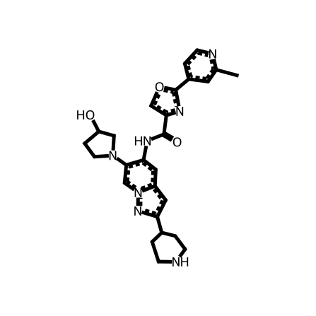 Cc1cc(-c2nc(C(=O)Nc3cc4cc(C5CCNCC5)nn4cc3N3CCC(O)C3)co2)ccn1